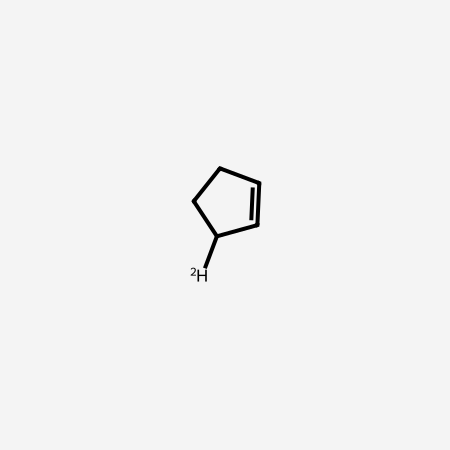 [2H]C1C=CCC1